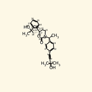 C[C@@H](c1ccc(C#CC(C)(C)O)cc1)N1CC[C@](CC(C)(C)O)(c2ccccc2)OC1=O